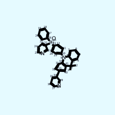 CC1(C)c2ccccc2N(c2ccc(P(=O)(c3ccccc3)c3cccnc3)cc2)c2ccc(-c3cccnc3)cc21